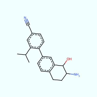 CC(C)c1cc(C#N)ccc1-c1ccc2c(c1)C(O)C(N)CC2